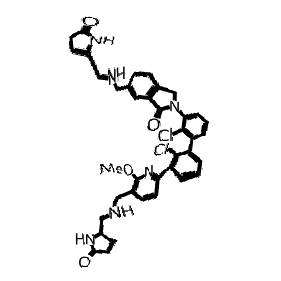 COc1nc(-c2cccc(-c3cccc(N4Cc5ccc(CNCC6CCC(=O)N6)cc5C4=O)c3Cl)c2Cl)ccc1CNCC1CCC(=O)N1